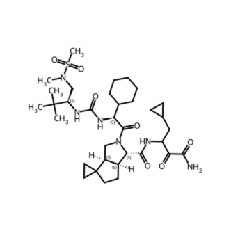 CN(C[C@@H](NC(=O)N[C@H](C(=O)N1C[C@H]2[C@H](CCC23CC3)[C@H]1C(=O)NC(CC1CC1)C(=O)C(N)=O)C1CCCCC1)C(C)(C)C)S(C)(=O)=O